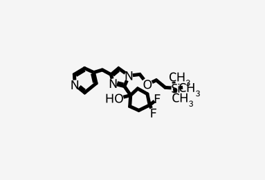 C[Si](C)(C)CCOCn1cc(Cc2ccncc2)nc1C1(O)CCC(F)(F)CC1